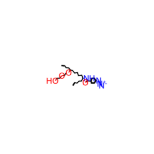 C=CCCCC(CCCCCC(CCC=C)OCCOCCO)NC(=O)c1ccc(N=[N+]=[N-])cc1